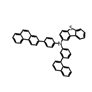 c1cc(-c2cccc3ccccc23)cc(N(c2ccc(-c3ccc4c(ccc5ccccc54)c3)cc2)c2ccc3sc4ccccc4c3c2)c1